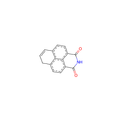 O=C1NC(=O)c2ccc3c4c(ccc1c24)C=CC3